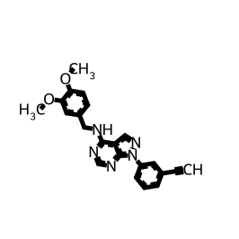 C#Cc1cccc(-n2ncc3c(NCc4ccc(OC)c(OC)c4)ncnc32)c1